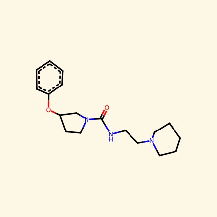 O=C(NCCN1CCCCC1)N1CCC(Oc2ccccc2)C1